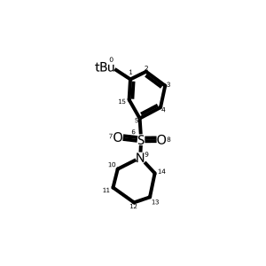 CC(C)(C)c1cccc(S(=O)(=O)N2CCCCC2)c1